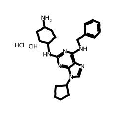 Cl.Cl.NC1CCC(Nc2nc(NCc3ccccc3)c3ncn(C4CCCC4)c3n2)CC1